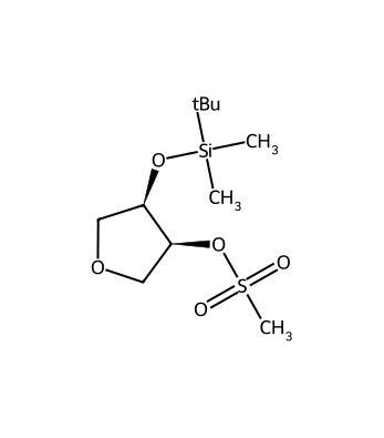 CC(C)(C)[Si](C)(C)O[C@@H]1COC[C@@H]1OS(C)(=O)=O